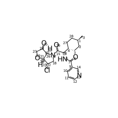 C[C@H]1CC[C@H]([C@H](NC(=O)c2cccnc2)C(=O)N2C[C@H](Cl)[C@H]3OCC(=O)[C@H]32)CC1